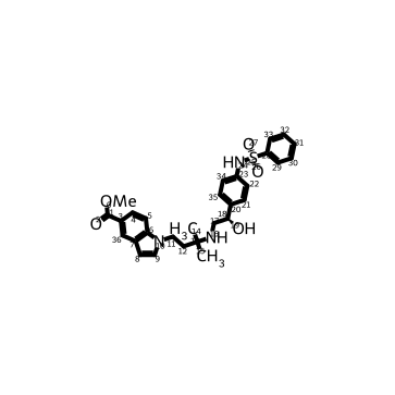 COC(=O)c1ccc2c(ccn2CCC(C)(C)NC[C@H](O)c2ccc(NS(=O)(=O)c3ccccc3)cc2)c1